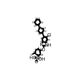 Cc1ccc(Oc2nc3cc(-c4ccc(-c5ccccc5)cc4)c(Cl)cc3[nH]2)cc1P(=O)(O)O